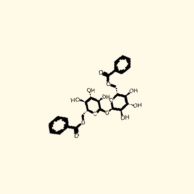 O=C(OC[C@H]1O[C@H](OC2O[C@H](COC(=O)c3ccccc3)[C@@H](O)[C@H](O)[C@H]2O)[C@H](O)[C@@H](O)[C@@H]1O)c1ccccc1